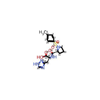 Cc1ccc(S(=O)(=O)N2CCC[C@H]2C(=O)N[C@@H](Cc2nc[nH]n2)C(=O)O)cc1